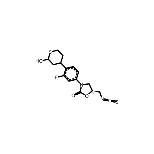 O=C1O[C@H](CN=C=S)CN1c1ccc(C2CCSC(O)C2)c(F)c1